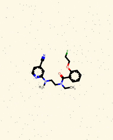 CCN(CCN(C)c1cc(C#N)ccn1)C(=O)c1ccccc1OCCF